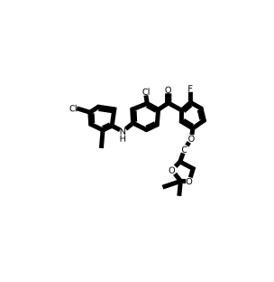 Cc1cc(Cl)ccc1Nc1ccc(C(=O)c2cc(OCC3COC(C)(C)O3)ccc2F)c(Cl)c1